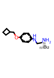 CC[C@H](C)[C@H](N)CNc1ccc(OCC2CCC2)cc1